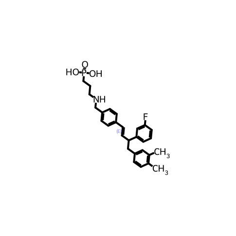 Cc1ccc(CC(/C=C/c2ccc(CNCCCP(=O)(O)O)cc2)c2cccc(F)c2)cc1C